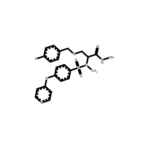 CN(C(CSCc1ccc(F)cc1)C(=O)NO)S(=O)(=O)c1ccc(Oc2ccncc2)cc1